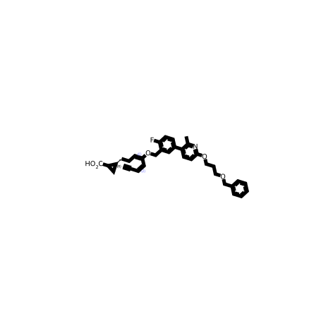 C#C/C=C\C(=C/CC[C@@H]1CC1C(=O)O)OCc1cc(-c2ccc(OCCCOCc3ccccc3)nc2C)ccc1F